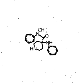 CN(C(=O)C1(Nc2ccccc2)CCNCC1)c1ccccc1